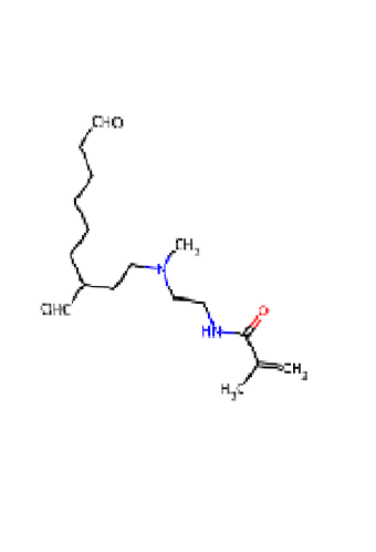 C=C(C)C(=O)NCCN(C)CCC(C=O)CCCCCC=O